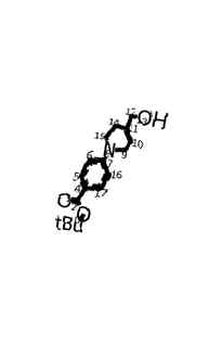 CC(C)(C)OC(=O)c1ccc(N2CC=C(CO)CC2)cc1